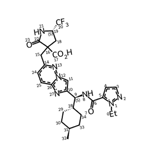 CCn1nccc1C(=O)N[C@H](c1cn2nc(CC3(C(=O)O)C[C@@H](C(F)(F)F)NC3=O)ccc2n1)[C@H]1CC[C@H](C)CC1